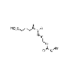 CC(C)OC(=O)OCON=[N+]([O-])N(C)CCCC(=O)O